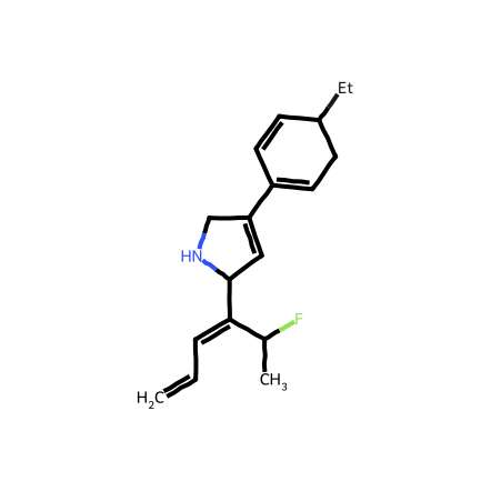 C=C/C=C(\C(C)F)C1C=C(C2=CCC(CC)C=C2)CN1